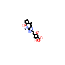 COc1cc(C(=O)O)ccc1CCc1ncc2c(n1)CC(C)c1ccccc1C(=O)N2C